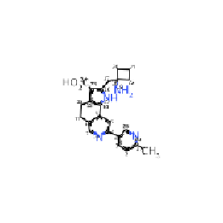 Cc1ccc(-c2cc3c(cn2)CCc2c-3[nH]c(CC3(N)CCC3)c2C(=O)O)cn1